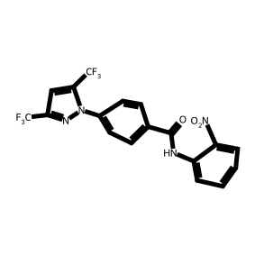 O=C(Nc1ccccc1[N+](=O)[O-])c1ccc(-n2nc(C(F)(F)F)cc2C(F)(F)F)cc1